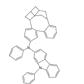 c1ccc(N(c2ccc3c(c2)-c2ccccc2C2CC4CC5CC3C45C2)c2ccc3c4ccccc4n(-c4ccccc4)c3c2)cc1